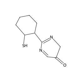 O=C1C=NC(C2CCCCC2S)=NC1